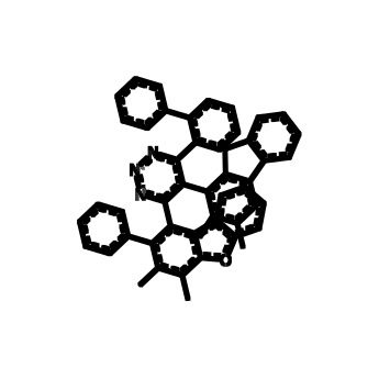 Cc1cc2c(c(-c3c(-c4ccccc4-c4ccccc4)nnnc3-c3c(-c4ccccc4)c(C)c(C)c4oc5ccccc5c34)c1C)Cc1ccccc1-2